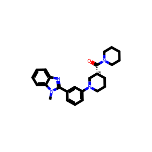 Cn1c(-c2cccc(N3CCC[C@@H](C(=O)N4CCCCC4)C3)c2)nc2ccccc21